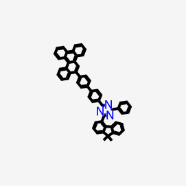 CC1(C)c2ccccc2-c2c(-c3nc(-c4ccccc4)nc(-c4ccc(-c5ccc(-c6cc7c8ccccc8c8ccccc8c7c7ccccc67)cc5)cc4)n3)cccc21